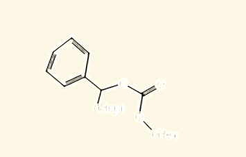 CCCCCCCC(OC(=O)OCCCCCC)c1ccccc1